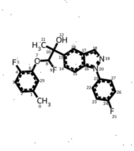 Cc1ccc(F)c(OC(F)C(C)(O)c2ccc3c(cnn3-c3ccc(F)cc3)c2)c1